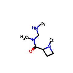 CCN1CCC1C(=O)N(C)CNC(C)C